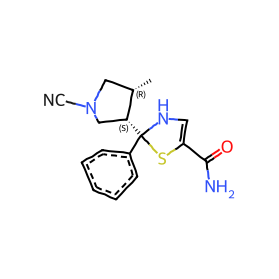 C[C@H]1CN(C#N)C[C@H]1C1(c2ccccc2)NC=C(C(N)=O)S1